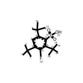 CC(C)(C)c1cc(C(C)(C)C)c(S(=O)(=O)O)c(C(C)(C)C)c1F